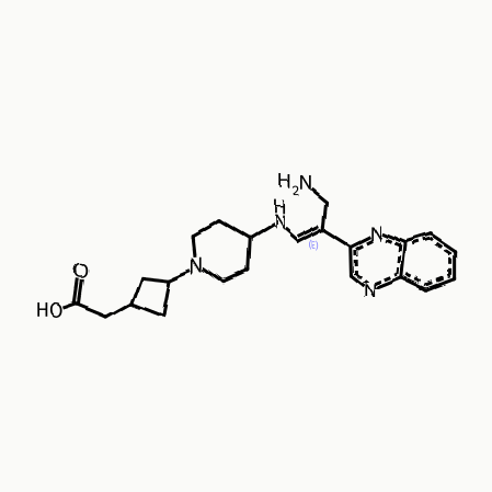 NC/C(=C\NC1CCN(C2CC(CC(=O)O)C2)CC1)c1cnc2ccccc2n1